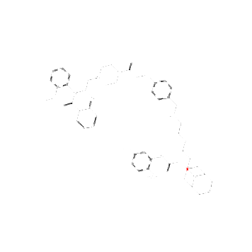 CCOc1ccccc1N1C(=O)C2C=CC=CC2=NC1CN1CCN(C(=O)COc2ccc(C[S+]([O-])CCCCCCN3C4CCCC3CC(OC(=O)Nc3cc(C)ccc3OC)C4)cc2)CC1